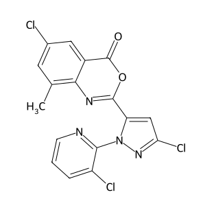 Cc1cc(Cl)cc2c(=O)oc(-c3cc(Cl)nn3-c3ncccc3Cl)nc12